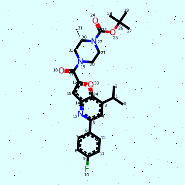 CC(C)c1cc(-c2ccc(F)cc2)nc2cc(C(=O)N3CCN(C(=O)OC(C)(C)C)[C@@H](C)C3)oc12